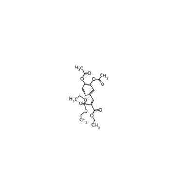 CCOC(=O)C(=Cc1ccc(OC(C)=O)c(OC(C)=O)c1)P(=O)(OCC)OCC